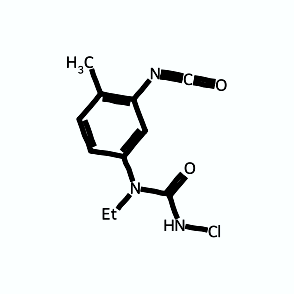 CCN(C(=O)NCl)c1ccc(C)c(N=C=O)c1